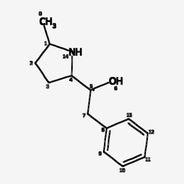 CC1CCC([C](O)Cc2ccccc2)N1